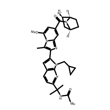 COc1cc(C(=O)N2[C@H]3CC[C@@H]2[C@H](N)C3)cc2nc(-c3cc4ccc(C(C)(C)NC(=O)C(C)(C)C)nc4n3CC3CC3)c(C)n12